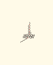 CCCCCCCCCOCC(O)C(O)(CCCCCCCCC)C(O)(CO)CCCCCCCCC